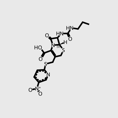 CCCNC(=O)NC1C(=O)N2C(C(=O)O)=C(CSc3ccc([N+](=O)[O-])cn3)CS[C@@H]12